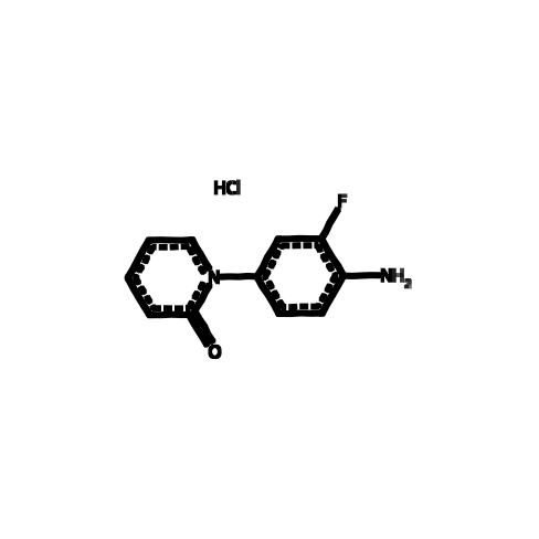 Cl.Nc1ccc(-n2ccccc2=O)cc1F